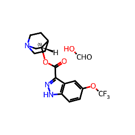 O=C(O[C@@H]1CN2CCC1CC2)c1n[nH]c2ccc(OC(F)(F)F)cc12.O=CO